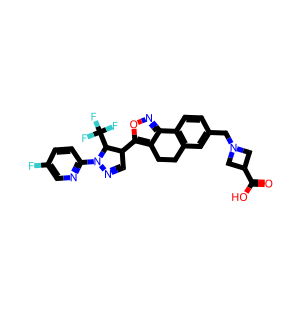 O=C(O)C1CN(Cc2ccc3c(c2)CCc2c-3noc2C2C=NN(c3ccc(F)cn3)C2C(F)(F)F)C1